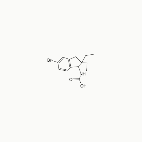 CCC1(CC)Cc2cc(Br)ccc2C1NC(=O)O